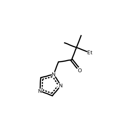 CCC(C)(C)C(=O)Cn1cncn1